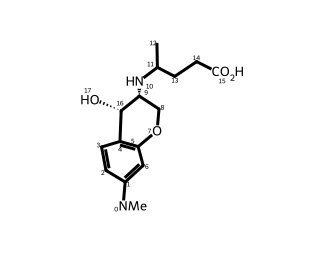 CNc1ccc2c(c1)OC[C@@H](NC(C)CCC(=O)O)[C@H]2O